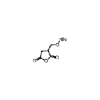 CCCCOCC1CC(=O)OC1=O